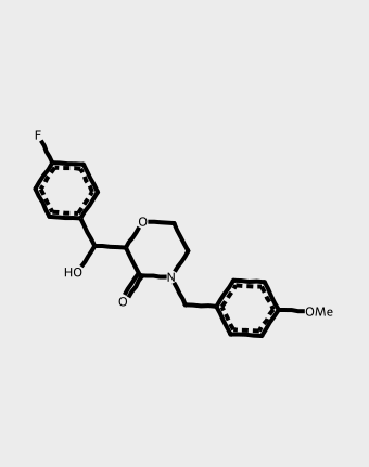 COc1ccc(CN2CCOC(C(O)c3ccc(F)cc3)C2=O)cc1